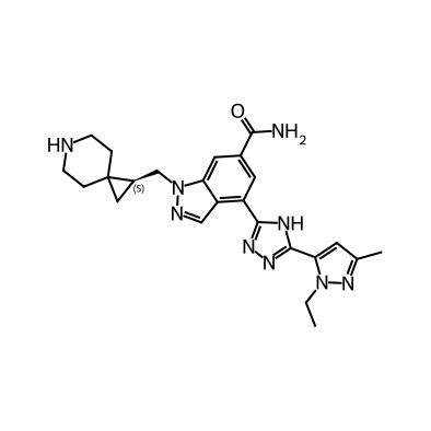 CCn1nc(C)cc1-c1nnc(-c2cc(C(N)=O)cc3c2cnn3C[C@H]2CC23CCNCC3)[nH]1